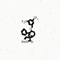 C=CCN1C2CCC(OCc3cc(C(F)(F)F)cc(C(F)(F)F)c3)C1(c1ccccc1)CC2C(=O)OC